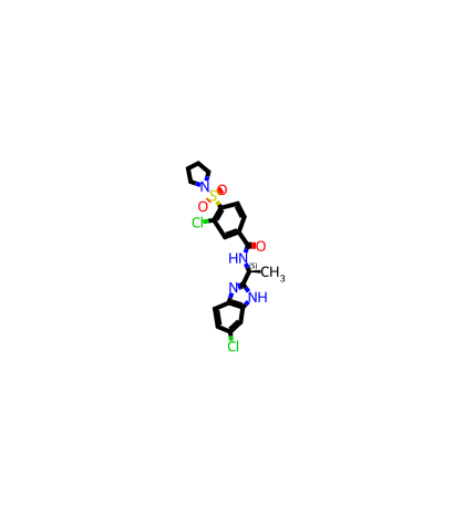 C[C@H](NC(=O)c1ccc(S(=O)(=O)N2CCCC2)c(Cl)c1)c1nc2ccc(Cl)cc2[nH]1